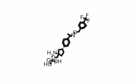 C/C(=N\OCc1ccc(C(F)(F)F)cc1)c1ccc([C@@H]2CC[C@](N)(COP(=O)(O)O)C2)cc1